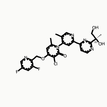 Cc1cnc(-c2ccnc([C@](C)(O)CO)n2)cc1-n1c(C)cc(OCc2ncc(F)cc2F)c(Cl)c1=O